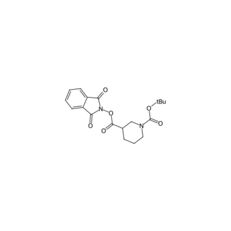 CC(C)(C)OC(=O)N1CCCC(C(=O)ON2C(=O)c3ccccc3C2=O)C1